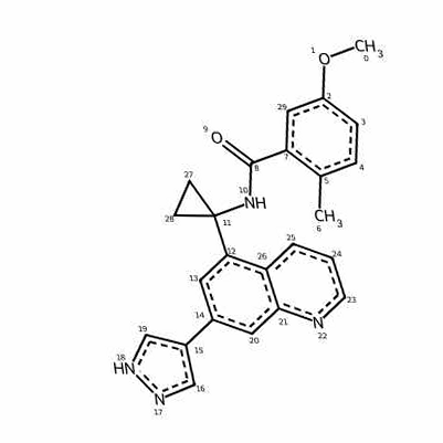 COc1ccc(C)c(C(=O)NC2(c3cc(-c4cn[nH]c4)cc4ncccc34)CC2)c1